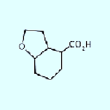 O=C(O)C1CCCC2OCCC21